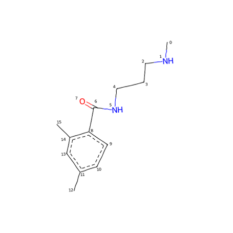 CNCCCNC(=O)c1ccc(C)cc1C